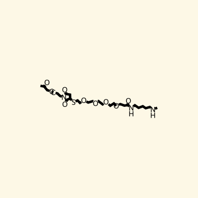 CNCCCCCNC(=O)CCOCCOCCOCCOCCSC1CC(=O)N(CCCCCC(C)=O)C1=O